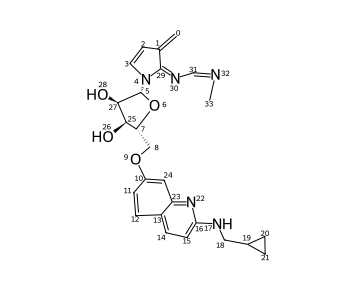 C=C1C=CN([C@@H]2O[C@H](COc3ccc4ccc(NCC5CC5)nc4c3)[C@@H](O)[C@H]2O)/C1=N/C=N\C